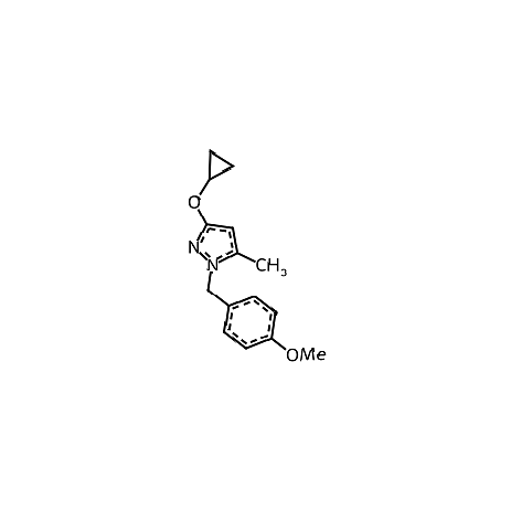 COc1ccc(Cn2nc(OC3CC3)cc2C)cc1